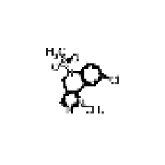 Cn1ncc2c1-c1cc(Cl)ccc1N(S(C)(=O)=O)C2